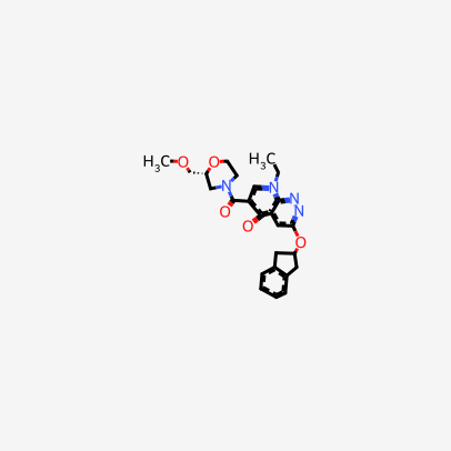 CCn1cc(C(=O)N2CCO[C@@H](COC)C2)c(=O)c2cc(OC3Cc4ccccc4C3)nnc21